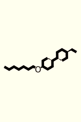 CCCCCCCO[C@H]1CC[C@H]([C@H]2CC[C@H](CC)CC2)CC1